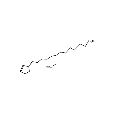 CC(=O)O.O=C(O)CCCCCCCCCCCC[C@@H]1C=CCC1